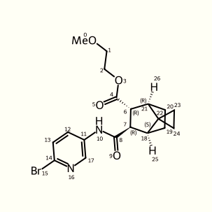 COCCOC(=O)[C@H]1[C@H](C(=O)Nc2ccc(Br)nc2)[C@@H]2CC[C@H]1C21CC1